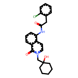 O=C(Cc1ccccc1Cl)Nc1cccc2c(=O)n(CC3(O)CCCCC3)ccc12